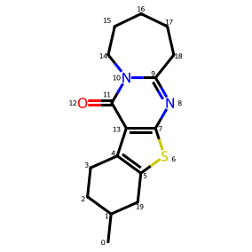 CC1CCc2c(sc3nc4n(c(=O)c23)CCCCC4)C1